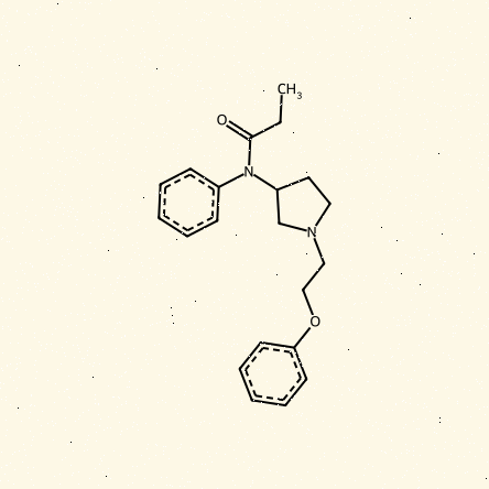 CCC(=O)N(c1ccccc1)C1CCN(CCOc2ccccc2)C1